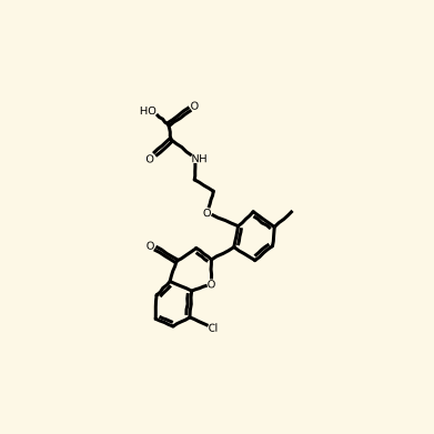 Cc1ccc(-c2cc(=O)c3cccc(Cl)c3o2)c(OCCNC(=O)C(=O)O)c1